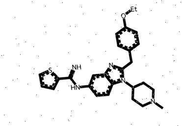 CCOc1ccc(Cc2nc3cc(NC(=N)c4cccs4)ccc3n2C2CCN(C)CC2)cc1